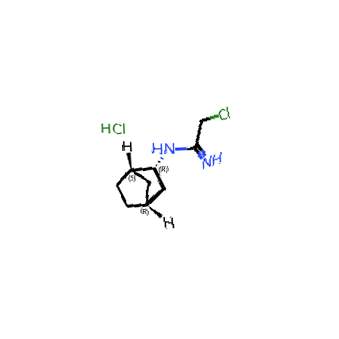 Cl.N=C(CCl)N[C@@H]1C[C@@H]2CC[C@H]1C2